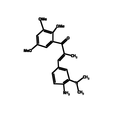 COc1cc(OC)c(OC)c(C(=O)C(C)=Cc2ccc(N)c(N(C)C)c2)c1